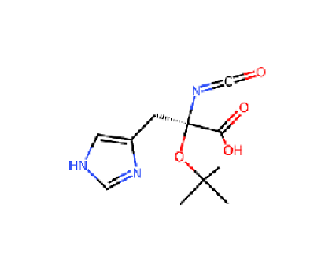 CC(C)(C)O[C@@](Cc1c[nH]cn1)(N=C=O)C(=O)O